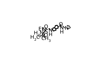 C=CCN(C)C(=O)/C(N)=C1\S[C@H](CNc2ccc3cc(C(=O)NCCN4CCCC4)ccc3c2)C(=O)N1CC